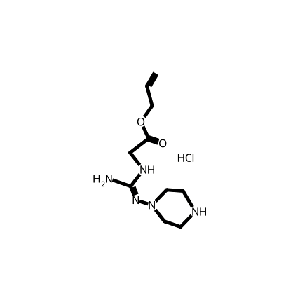 C=CCOC(=O)CNC(N)=NN1CCNCC1.Cl